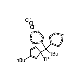 CCCCC1=C[C]([Ti+3])(C(c2ccccc2)(c2ccccc2)C(C)(C)C)C=C1.[Cl-].[Cl-].[Cl-]